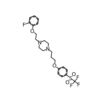 O=S(=O)(c1ccc(OCCCN2CCN(CCOc3ccccc3F)CC2)cc1)C(F)(F)F